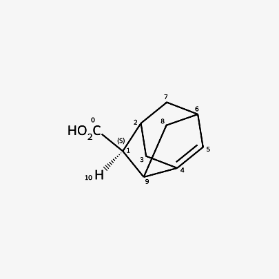 O=C(O)[C@H]1C2CC3=CC(C2)CC31